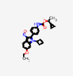 CCOc1ccc2c(N=O)c(-c3ccc(NC(=O)OC(C)C4CC4)cc3)n(C3CCC3)c2c1